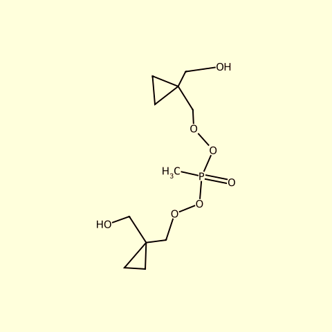 CP(=O)(OOCC1(CO)CC1)OOCC1(CO)CC1